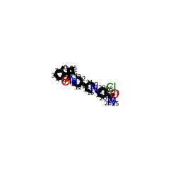 Cc1ccccc1C1(C(=O)N2CCC(C3CCN(c4ccc(C(=O)N(C)C)c(Cl)c4)CC3)CC2)CCC1